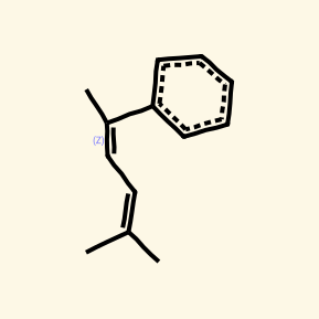 CC(C)=C/C=C(/C)c1ccccc1